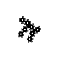 c1ccc(-c2ccc(N(c3ccccc3)c3ccc4c5ccc(-c6ccccc6)cc5n(-c5ccc(-c6ccccc6)cc5)c4c3)cc2)cc1